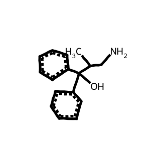 CC(CN)C(O)(c1ccccc1)c1ccccc1